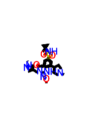 CO/N=c1\[nH]c2c(C3CCN(C)CC3)cc(S(=O)(=O)NC3(C)CC3)cc2c(=O)n1Cc1cnn(C)c1